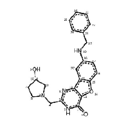 O=c1[nH]c(CN2CC[C@H](O)C2)nc2c1oc1ccc(NCc3ccccc3)cc12